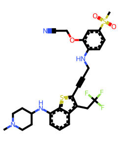 CN1CCC(Nc2cccc3c(CC(F)(F)F)c(C#CCNc4ccc(S(C)(=O)=O)cc4OCC#N)sc23)CC1